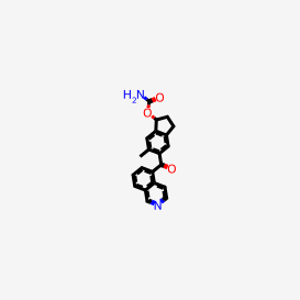 Cc1cc2c(cc1C(=O)c1cccc3cnccc13)CCC2OC(N)=O